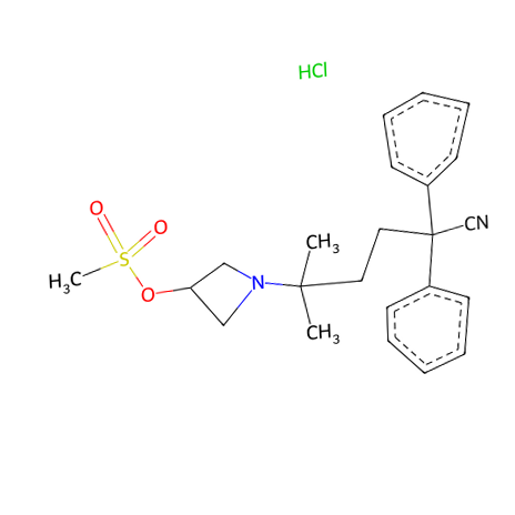 CC(C)(CCC(C#N)(c1ccccc1)c1ccccc1)N1CC(OS(C)(=O)=O)C1.Cl